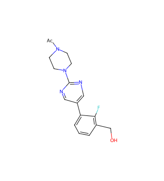 CC(=O)N1CCN(c2ncc(-c3cccc(CO)c3F)cn2)CC1